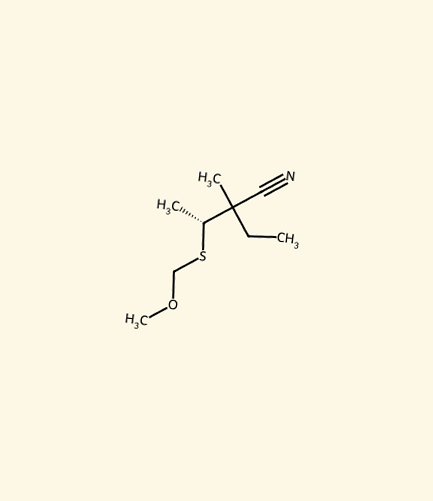 CCC(C)(C#N)[C@@H](C)SCOC